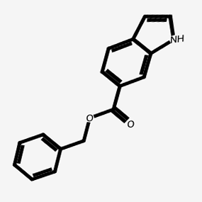 O=C(OCc1ccccc1)c1ccc2cc[nH]c2c1